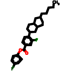 CCCCCC1CCC2CC(c3ccc(C(=O)Oc4ccc(F)cc4)cc3F)CCC2C1